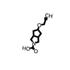 C#CCOC1CC2CN(C(=O)O)CC2C1